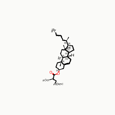 CCCCCCCCCCCC(CCCCCCCC)C(=O)O[C@H]1CC[C@@]2(C)C(=CC[C@H]3[C@@H]4CC[C@H]([C@H](C)CCCC(C)C)[C@@]4(C)CC[C@@H]32)C1